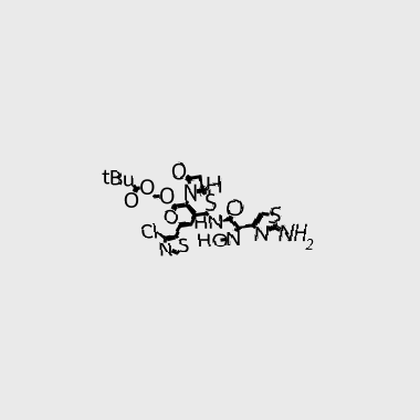 CC(C)(C)C(=O)OCOC(=O)C1=C(C=Cc2scnc2Cl)C(NC(=O)C(=NO)c2csc(N)n2)S[C@H]2CC(=O)N12